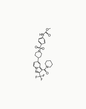 COC(=O)Nc1ccc(S(=O)(=O)N2CCC(c3ccn4nc(C(F)(F)F)c(C(=O)N5CCCCC5)c4c3)CC2)cc1